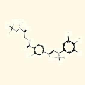 CN(CC(F)(F)F)C(=O)CNC(=O)c1ccc(/C(F)=C/C(c2cc(Cl)c(Cl)c(Cl)c2)C(F)(F)F)cc1Br